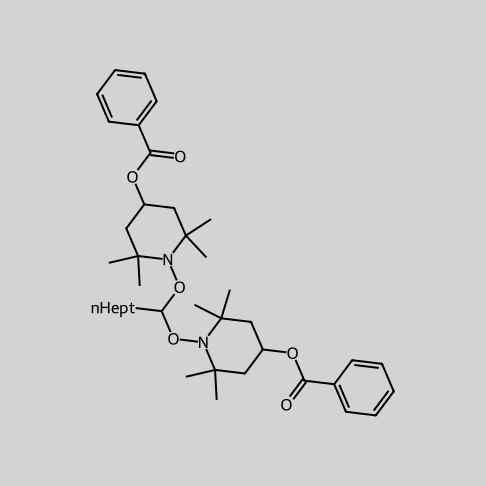 CCCCCCCC(ON1C(C)(C)CC(OC(=O)c2ccccc2)CC1(C)C)ON1C(C)(C)CC(OC(=O)c2ccccc2)CC1(C)C